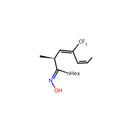 C/C=C\C(=C/[C@H](C)/C(CCCCCC)=N/O)C(F)(F)F